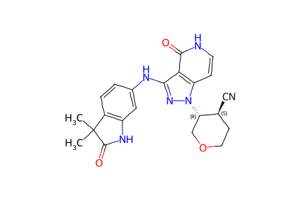 CC1(C)C(=O)Nc2cc(Nc3nn([C@H]4COCC[C@@H]4C#N)c4cc[nH]c(=O)c34)ccc21